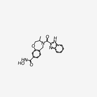 CC1COc2cc(C(=O)NO)ccc2CN1C(=O)c1nc2ccccc2[nH]1